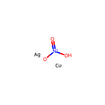 O=[N+]([O-])O.[Ag].[Cu]